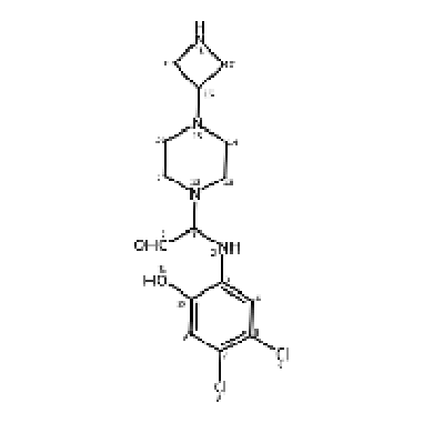 O=CC(Nc1cc(Cl)c(Cl)cc1O)N1CCN(C2CNC2)CC1